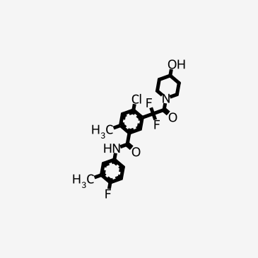 Cc1cc(NC(=O)c2cc(C(F)(F)C(=O)N3CCC(O)CC3)c(Cl)cc2C)ccc1F